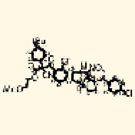 COCCOC(=O)C(C#N)(C(=O)c1ccccc1C(F)(F)F)c1ccc(C(C)(C)C)cc1.O=[N+]([O-])C1=C2N(Cc3ccc(Cl)nc3)CCN2[C@@H]2CC[C@H]1O2